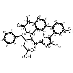 CN(C(=O)[C@@H](CC(=O)O)Cc1ccccc1)c1nc(-c2cc(Cl)ccc2-c2cnc3c(c2)CCC(=O)N3C)c(F)s1